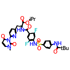 CC(C)OC(=O)[C@H](Cc1ccc(-n2c(=O)ccn(C)c2=O)nc1)NC(=O)c1cc(F)c(NS(=O)(=O)c2ccc(NC(=O)C(C)(C)C)cc2)cc1F